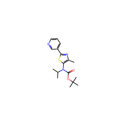 Cc1nc(-c2cccnc2)sc1N(C(=O)OC(C)(C)C)C(C)C